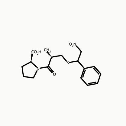 C[C@@H](CSC(C[N+](=O)[O-])c1ccccc1)C(=O)N1CCC[C@H]1C(=O)O